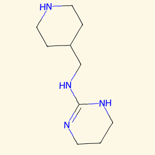 C1CN=C(NCC2CCNCC2)NC1